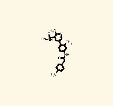 Cc1cc(NC(=O)Cc2ccc(C(F)(F)F)cc2)ccc1-c1cnc(N)c(C(=O)NC(C)C)c1